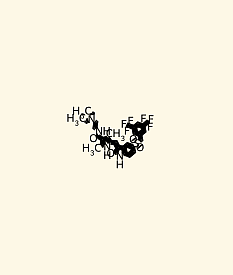 CCN(CC)CCNC(=O)c1c(C)[nH]c(/C=C2\C(=O)Nc3ccc(S(=O)(=O)Cc4cc(C(F)(F)F)cc(C(F)(F)F)c4)cc32)c1C